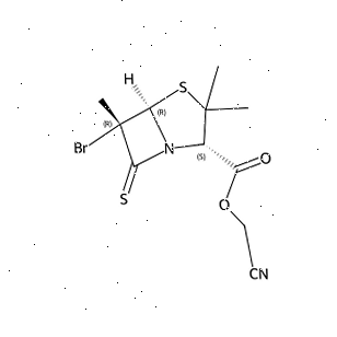 CC1(C)S[C@H]2N(C(=S)[C@]2(C)Br)[C@H]1C(=O)OCC#N